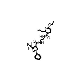 CCCc1nc(OCC)ccc1C(=O)NCCNC(=O)c1cn(-c2ccccc2)nc1C(F)(F)F